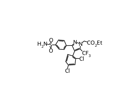 CCOC(=O)Cn1nc(-c2ccc(S(N)(=O)=O)cc2)c(-c2ccc(Cl)cc2Cl)c1C(F)(F)F